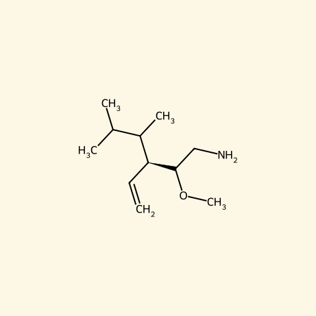 C=C[C@H](C(CN)OC)C(C)C(C)C